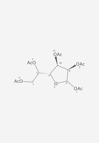 CC(=O)OCC(OC(C)=O)[C@H]1OC(OC(C)=O)[C@H](OC(C)=O)[C@@H]1OC(C)=O